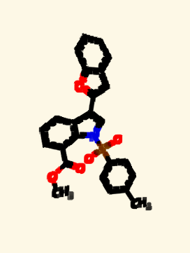 COC(=O)c1cccc2c(-c3cc4ccccc4o3)cn(S(=O)(=O)c3ccc(C)cc3)c12